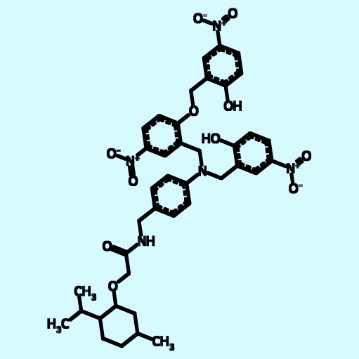 CC1CCC(C(C)C)C(OCC(=O)NCc2ccc(N(Cc3cc([N+](=O)[O-])ccc3O)Cc3cc([N+](=O)[O-])ccc3OCc3cc([N+](=O)[O-])ccc3O)cc2)C1